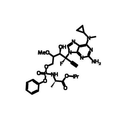 C#C[C@@](F)([C@H](O)C(COP(=O)(N[C@@H](C)C(=O)OC(C)C)Oc1ccccc1)OC)n1cnc2c(N(C)C3CC3)nc(N)nc21